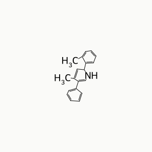 CC1=CC(c2ccccc2C)NC=C1c1ccccc1